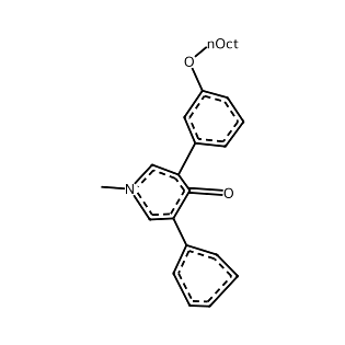 CCCCCCCCOc1cccc(-c2cn(C)cc(-c3ccccc3)c2=O)c1